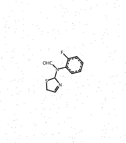 O=CN(c1ccccc1F)C1N=CCS1